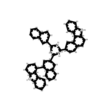 c1ccc2cc(-c3nc(-c4cc(-c5cccc6oc7ccccc7c56)c5ccccc5c4)nc(-c4ccc5ccc6oc7ccccc7c6c5c4)n3)ccc2c1